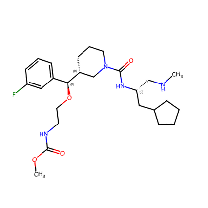 CNC[C@H](CC1CCCC1)NC(=O)N1CCC[C@@H]([C@@H](OCCNC(=O)OC)c2cccc(F)c2)C1